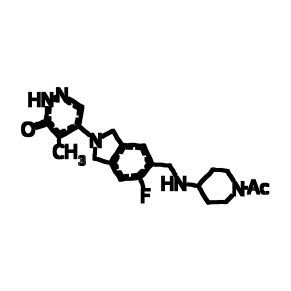 CC(=O)N1CCC(NCc2cc3c(cc2F)CN(c2cn[nH]c(=O)c2C)C3)CC1